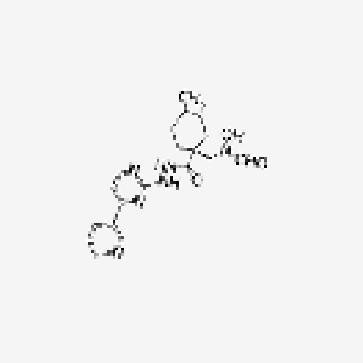 C[C@H]1CC[C@](CN(O)C=O)(C(=O)NNc2nccc(-c3cccnc3)n2)CC1